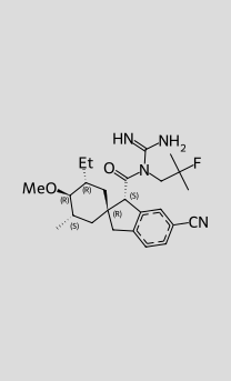 CC[C@@H]1C[C@@]2(Cc3ccc(C#N)cc3[C@H]2C(=O)N(CC(C)(C)F)C(=N)N)C[C@H](C)[C@H]1OC